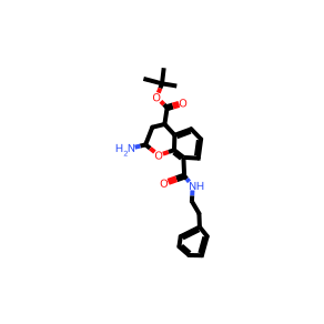 CC(C)(C)OC(=O)C1CC(N)Oc2c(C(=O)NCCc3ccccc3)cccc21